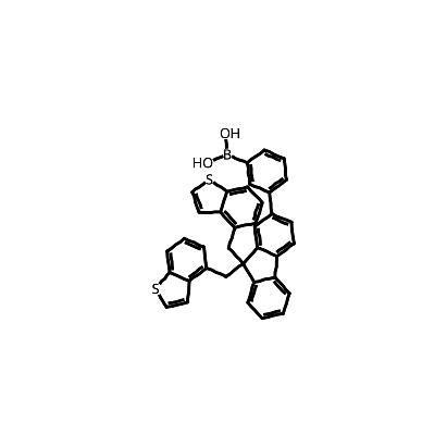 OB(O)c1cccc(-c2ccc3c(c2)C(Cc2cccc4sccc24)(Cc2cccc4sccc24)c2ccccc2-3)c1